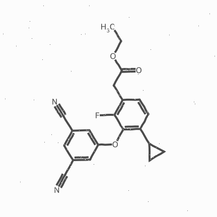 CCOC(=O)Cc1ccc(C2CC2)c(Oc2cc(C#N)cc(C#N)c2)c1F